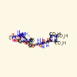 CCC(=O)NCCNC(=O)/N=C(/N)NCCC[C@@H](NC(=O)C(c1ccccc1)c1cccc(OCCCCNC(=O)NNC(=O)CCNC(=O)CN2CCN(CC(=O)O)CCN(CC(=O)O)CCN(CC(=O)O)CC2)c1)C(=O)NCc1ccc(O)cc1